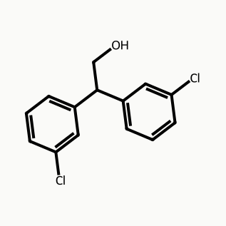 OCC(c1cccc(Cl)c1)c1cccc(Cl)c1